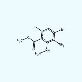 COC(=O)c1c(Cl)cc(Br)c(N)c1NN